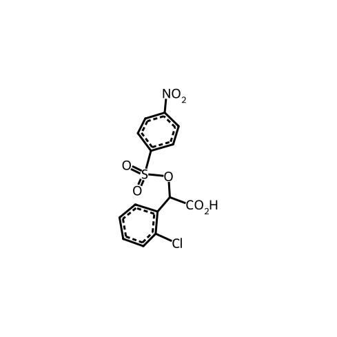 O=C(O)C(OS(=O)(=O)c1ccc([N+](=O)[O-])cc1)c1ccccc1Cl